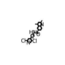 Cc1cc(C)c2cc(C(=O)NC3CN(c4cc(Cl)ncc4Cl)C3)ccc2n1